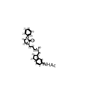 CC(=O)Nc1ccc2c(c1)C(CN(C)CCCN1CCN(c3ccccc3)C1=O)CC2